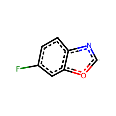 Fc1ccc2n[c]oc2c1